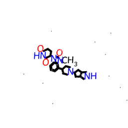 Cn1c(=O)n(C2CCC(=O)NC2=O)c2cccc(C3CCN(C4CC5CNCC5C4)CC3)c21